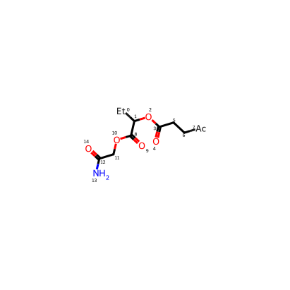 CCC(OC(=O)CCC(C)=O)C(=O)OCC(N)=O